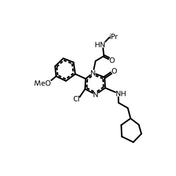 COc1cccc(-c2c(Cl)nc(NCCC3CCCCC3)c(=O)n2CC(=O)NC(C)C)c1